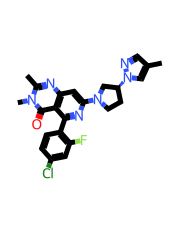 Cc1cnn([C@H]2CCN(c3cc4nc(C)n(C)c(=O)c4c(-c4ccc(Cl)cc4F)n3)C2)c1